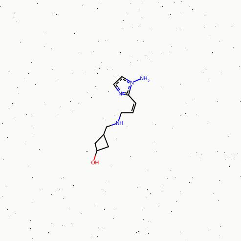 Nn1ccnc1/C=C\CNCC1CC(O)C1